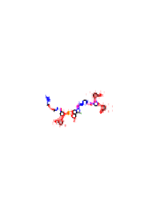 COc1ccc2c(OS(=O)(=O)Oc3cc(C(=O)N(C)CC(C)(C)COCC(C)(C)CN=[N+]=[N-])ccc3O[C@@H]3O[C@H](C(=O)O)[C@@H](O)[C@H](O)[C@H]3O)cc3c(c2c1)[C@H](CCl)CN3C(=O)c1cn2cc(NC(=O)c3ccc(O[C@@H]4O[C@H](C(=O)O)[C@@H](O)[C@H](O)[C@H]4O)cc3O[C@@H]3O[C@H](C(=O)O)[C@@H](O)[C@H](O)[C@H]3O)ccc2n1